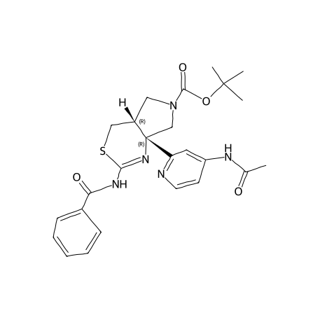 CC(=O)Nc1ccnc([C@]23CN(C(=O)OC(C)(C)C)C[C@H]2CSC(NC(=O)c2ccccc2)=N3)c1